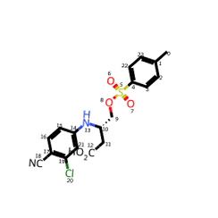 Cc1ccc(S(=O)(=O)OC[C@H](CC(=O)O)Nc2ccc(C#N)c(Cl)c2)cc1